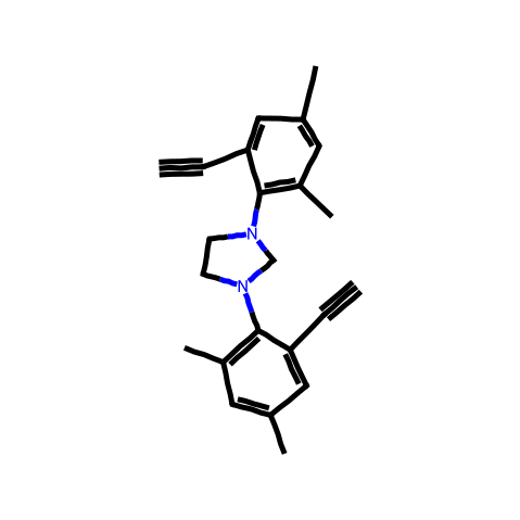 C#Cc1cc(C)cc(C)c1N1CCN(c2c(C)cc(C)cc2C#C)C1